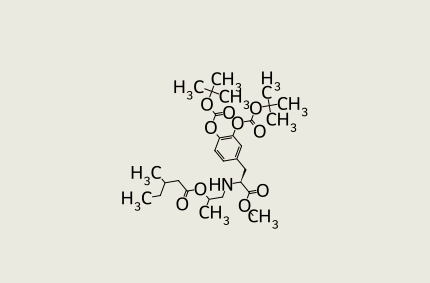 CCC(C)CC(=O)OC(C)CN[C@@H](Cc1ccc(OC(=O)OC(C)(C)C)c(OC(=O)OC(C)(C)C)c1)C(=O)OC